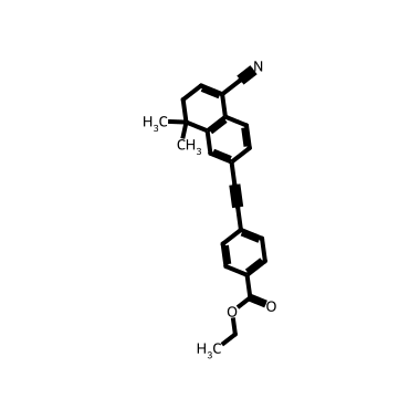 CCOC(=O)c1ccc(C#Cc2ccc3c(c2)C(C)(C)CC=C3C#N)cc1